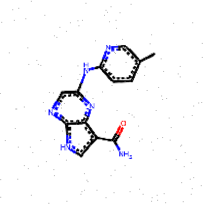 Cc1ccc(Nc2cnc3[nH]cc(C(N)=O)c3n2)nc1